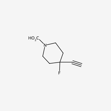 C#CC1(F)CCN(C(=O)O)CC1